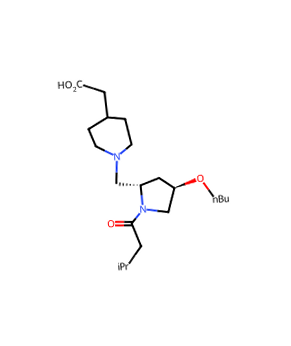 CCCCO[C@@H]1C[C@@H](CN2CCC(CC(=O)O)CC2)N(C(=O)CC(C)C)C1